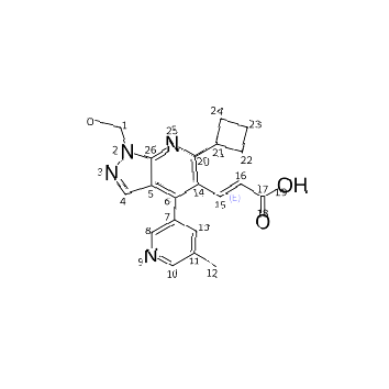 CCn1ncc2c(-c3cncc(C)c3)c(/C=C/C(=O)O)c(C3CCC3)nc21